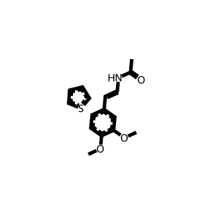 COc1ccc(C=CNC(C)=O)cc1OC.c1ccsc1